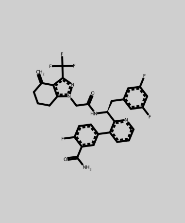 C=C1CCCc2c1c(C(F)(F)F)nn2CC(=O)N[C@@H](Cc1cc(F)cc(F)c1)c1ncccc1-c1ccc(F)c(C(N)=O)c1